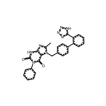 Cc1nc2[nH]c(=O)n(-c3ccccc3)c(=O)c2n1Cc1ccc(-c2ccccc2-c2nnn[nH]2)cc1